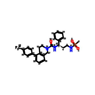 CS(=O)(=O)NCC[C@H](NC(=O)N1CCc2c(cccc2-c2ccc(C(F)(F)F)cc2)C1)c1ccccc1